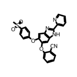 CS(=O)(=O)c1ccc(Oc2cc3nc(-c4ccccn4)[nH]c3cc2Oc2ccccc2C#N)cc1